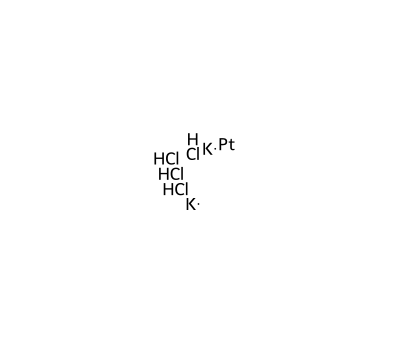 Cl.Cl.Cl.Cl.[K].[K].[Pt]